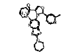 Cc1cc(C2OC=C(C(N)=O)N2c2cc3sc(N4CCCCC4)nc3nc2N2CCCCC2)ccn1